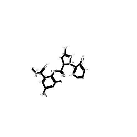 Bc1cc(C)c(NC(=O)C2CC(Br)=NN2c2ncccc2Cl)c(C(=O)NC)c1